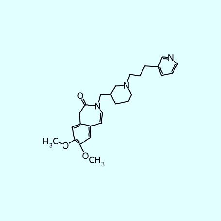 COc1cc2c(cc1OC)CC(=O)N(CC1CCCN(CCCc3cccnc3)C1)C=C2